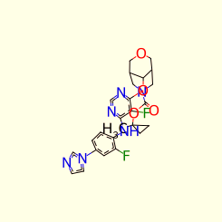 CC1(OC(=O)N2CC3COCC(C2)C3Oc2ncnc(Nc3ccc(-n4ccnc4)cc3F)c2F)CC1